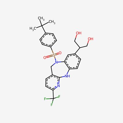 CC(C)(C)c1ccc(S(=O)(=O)N2Cc3ccc(C(F)(F)F)nc3Nc3ccc(C(CO)CO)cc32)cc1